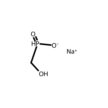 O=[PH]([O-])CO.[Na+]